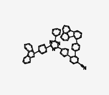 N#Cc1ccc(-c2ccc(-c3nc(-c4ccccc4)nc(-c4ccc(-c5cc6ccccc6c6ccccc56)cc4)n3)cc2)c(-c2ccc(-c3cccc4c3-c3cccc5cccc-4c35)cc2)c1